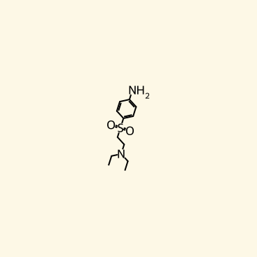 CCN(CC)CCS(=O)(=O)c1ccc(N)cc1